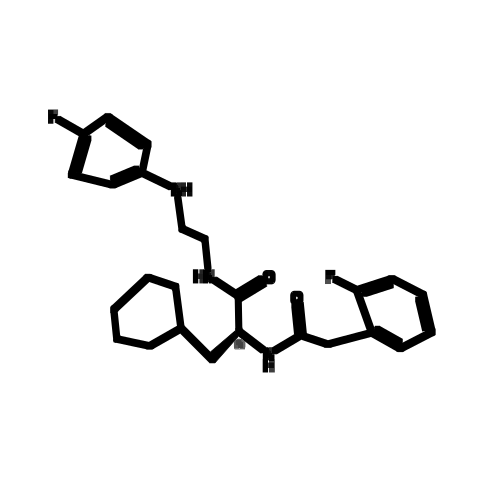 O=C(Cc1ccccc1F)N[C@@H](CC1CCCCC1)C(=O)NCCNc1ccc(F)cc1